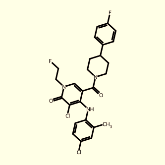 Cc1cc(Cl)ccc1Nc1c(C(=O)N2CCC(c3ccc(F)cc3)CC2)cn(CCF)c(=O)c1Cl